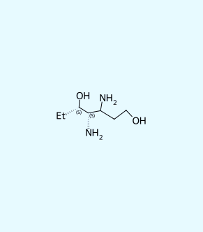 CC[C@H](O)[C@@H](N)C(N)CCO